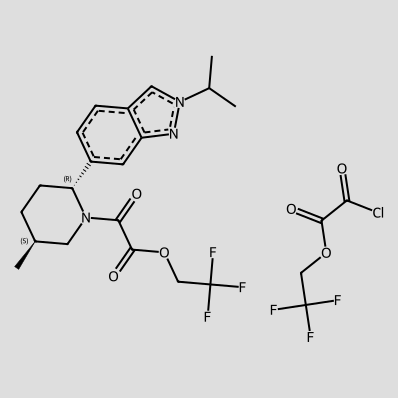 CC(C)n1cc2ccc([C@H]3CC[C@H](C)CN3C(=O)C(=O)OCC(F)(F)F)cc2n1.O=C(Cl)C(=O)OCC(F)(F)F